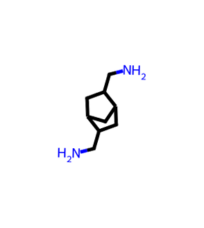 NCC1CC2CC1CC2CN